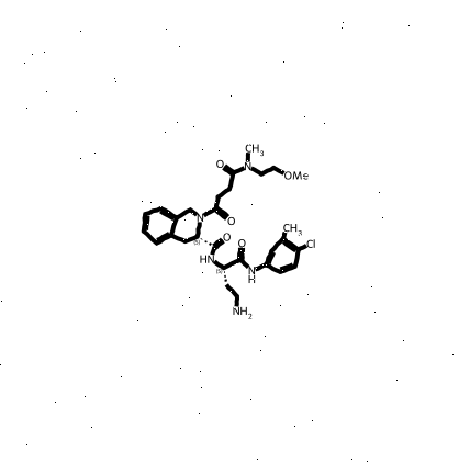 COCCN(C)C(=O)CCC(=O)N1Cc2ccccc2C[C@H]1C(=O)N[C@@H](CCN)C(=O)Nc1ccc(Cl)c(C)c1